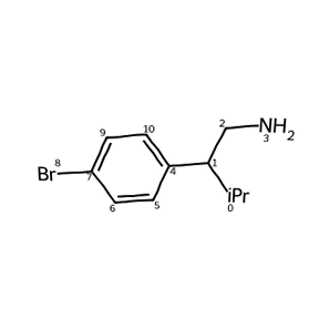 CC(C)C(CN)c1ccc(Br)cc1